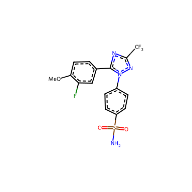 COc1ccc(-c2nc(C(F)(F)F)nn2-c2ccc(S(N)(=O)=O)cc2)cc1F